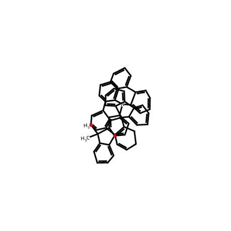 CC1(C)c2ccccc2-c2ccc(N(c3ccccc3-c3ccccc3)c3ccccc3-c3cccc4c3C3(C5=C4C=CCC5)c4ccccc4-c4ccccc43)cc21